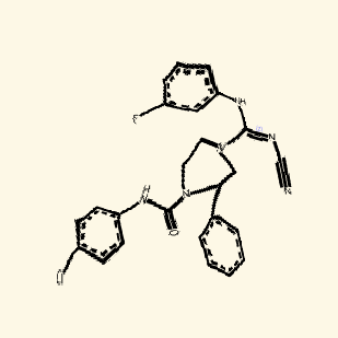 N#C/N=C(/Nc1cccc(F)c1)N1CCN(C(=O)Nc2ccc(Cl)cc2)C(c2ccccc2)C1